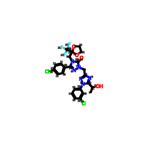 CC(O)c1nc(Cn2nc(-c3ccc(Cl)cc3)n(CC3(C(F)(F)F)OCCO3)c2=O)nn1-c1cccc(Cl)c1